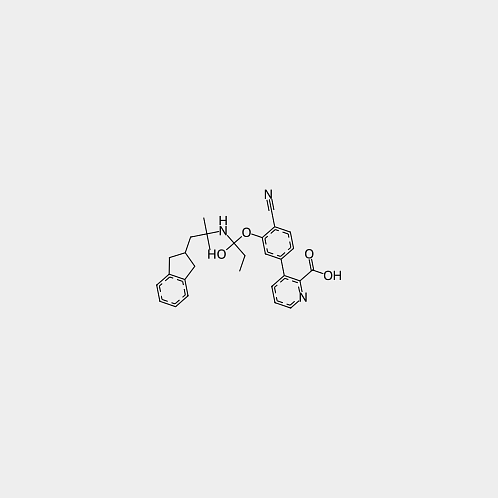 CCC(O)(NC(C)(C)CC1Cc2ccccc2C1)Oc1cc(-c2cccnc2C(=O)O)ccc1C#N